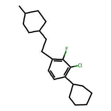 CC1CCC(CCc2ccc(C3CCCCC3)c(Cl)c2F)CC1